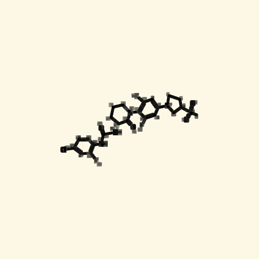 CS(=O)(=O)C1CCN(c2cc(F)c(N3CCC[C@@H](NC(=O)Nc4ccc(Cl)cc4F)C3=O)c(F)c2)C1